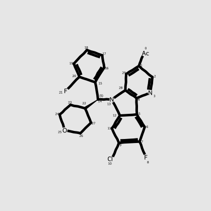 CC(=O)c1cnc2c3cc(F)c(Cl)cc3n([C@H](c3ccccc3F)C3CCOCC3)c2c1